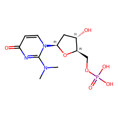 CN(C)c1nc(=O)ccn1[C@H]1C[C@H](O)[C@@H](COP(=O)(O)O)O1